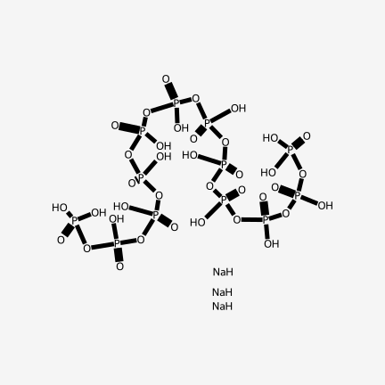 O=P(O)(O)OP(=O)(O)OP(=O)(O)OP(=O)(O)OP(=O)(O)OP(=O)(O)OP(=O)(O)OP(=O)(O)OP(=O)(O)OP(=O)(O)OP(=O)(O)OP(=O)(O)O.[NaH].[NaH].[NaH]